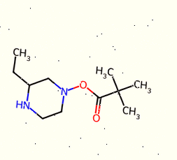 CCC1CN(OC(=O)C(C)(C)C)CCN1